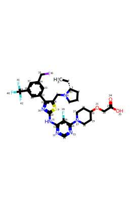 CC[C@@H]1CCCN1Cc1sc(Nc2ncnc(N3CCC(OCC(=O)O)CC3)c2F)nc1-c1cc(CI)cc(C(F)(F)F)c1